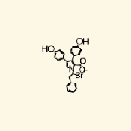 COC(=O)c1c(-c2ccc(O)cc2)c(-c2ccc(O)cc2)cn1C(Br)Cc1ccccc1